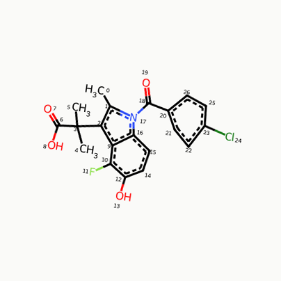 Cc1c(C(C)(C)C(=O)O)c2c(F)c(O)ccc2n1C(=O)c1ccc(Cl)cc1